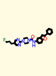 O=C(Nc1ccc2oc(-c3ccccc3)cc2c1)N1CCN(c2ncc(CCCF)cn2)CC1